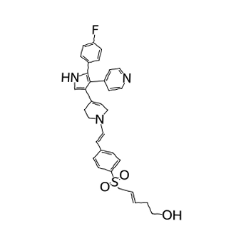 O=S(=O)(CC=CCCO)c1ccc(C=CN2CC=C(c3c[nH]c(-c4ccc(F)cc4)c3-c3ccncc3)CC2)cc1